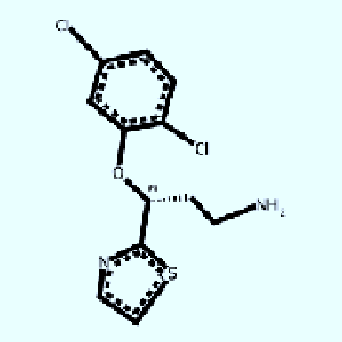 NCC[C@@H](Oc1cc(Cl)ccc1Cl)c1nccs1